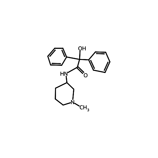 CN1CCCC(NC(=O)C(O)(c2ccccc2)c2ccccc2)C1